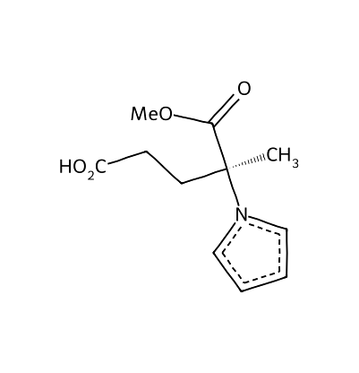 COC(=O)[C@](C)(CCC(=O)O)n1cccc1